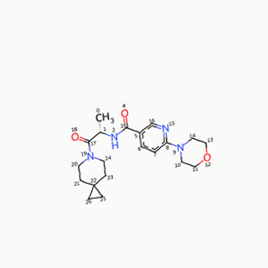 C[C@H](NC(=O)c1ccc(N2CCOCC2)nc1)C(=O)N1CCC2(CC1)CC2